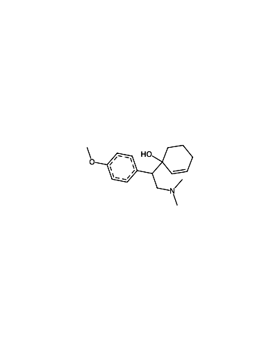 COc1ccc(C(CN(C)C)C2(O)C=CCCC2)cc1